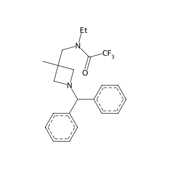 CCN(CC1(C)CN(C(c2ccccc2)c2ccccc2)C1)C(=O)C(F)(F)F